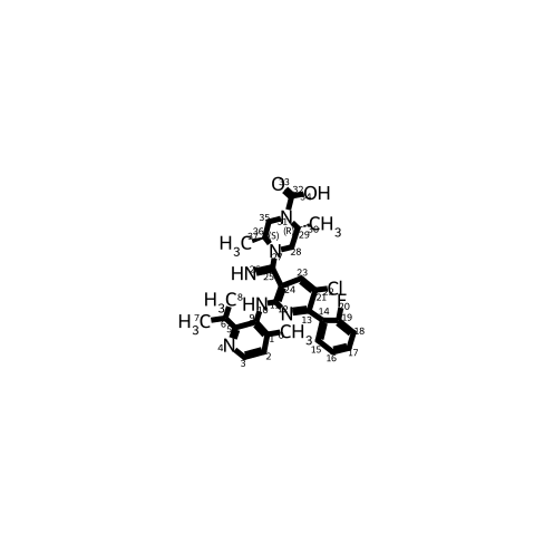 Cc1ccnc(C(C)C)c1Nc1nc(-c2ccccc2F)c(Cl)cc1C(=N)N1C[C@@H](C)N(C(=O)O)C[C@@H]1C